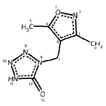 Cc1noc(C)c1Cn1nn[nH]c1=O